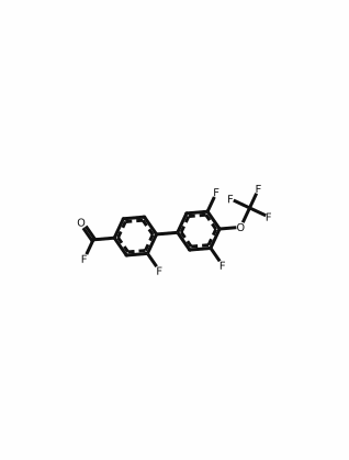 O=C(F)c1ccc(-c2cc(F)c(OC(F)(F)F)c(F)c2)c(F)c1